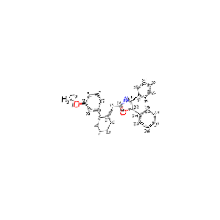 COc1cccc(C2CCCCC2=Cc2nc(-c3ccccc3)c(-c3ccccc3)o2)c1